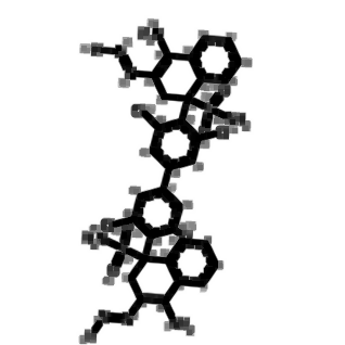 [H]/N=N/C1=C(N)c2ccccc2C(c2c(Cl)cc(-c3cc(Cl)c(C4(S(N)(=O)=O)CC(/N=N/[H])=C(N)c5ccccc54)c(Cl)c3)cc2Cl)(S(N)(=O)=O)C1